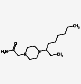 CCCCCCC(CC)N1CCN(CC(N)=O)CC1